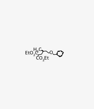 C=C(CCOCc1ccccc1)CC(C(=O)OCC)C(=O)OCC